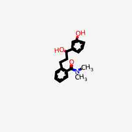 CN(C)C(=O)c1ccccc1CCC(O)c1cccc(O)c1